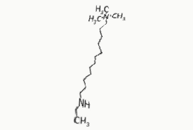 CCNCCCCCCCCCCCC[N+](C)(C)C